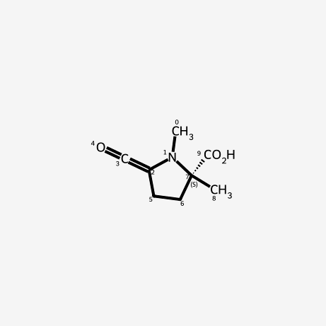 CN1C(=C=O)CC[C@@]1(C)C(=O)O